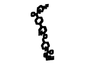 CC(C)(C)OC(=O)N1CCC(COc2ccc(C3=CCC(C(=O)N4CC[C@@H](F)C4)CC3)cn2)CC1